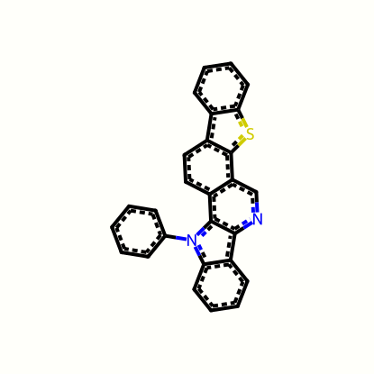 c1ccc(-n2c3ccccc3c3ncc4c(ccc5c6ccccc6sc54)c32)cc1